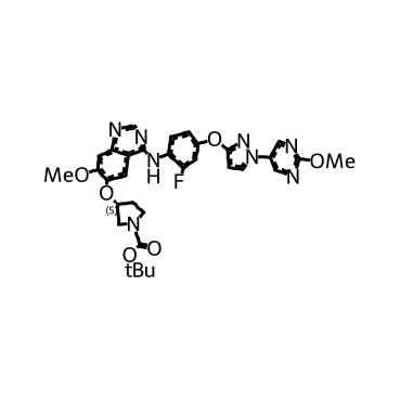 COc1ncc(-n2ccc(Oc3ccc(Nc4ncnc5cc(OC)c(O[C@H]6CCN(C(=O)OC(C)(C)C)C6)cc45)c(F)c3)n2)cn1